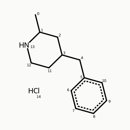 CC1CC(Cc2ccccc2)CCN1.Cl